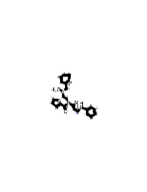 CN(CCN(C(=N)/C=C\Nc1ccccc1)C(=O)c1cccs1)Cc1ccccc1